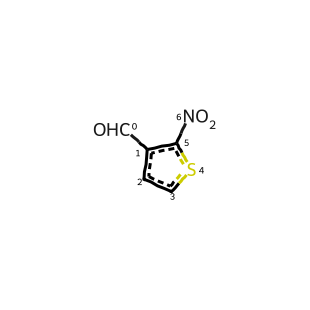 O=Cc1ccsc1[N+](=O)[O-]